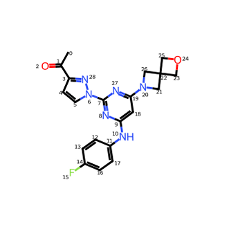 CC(=O)c1ccn(-c2nc(Nc3ccc(F)cc3)cc(N3CC4(COC4)C3)n2)n1